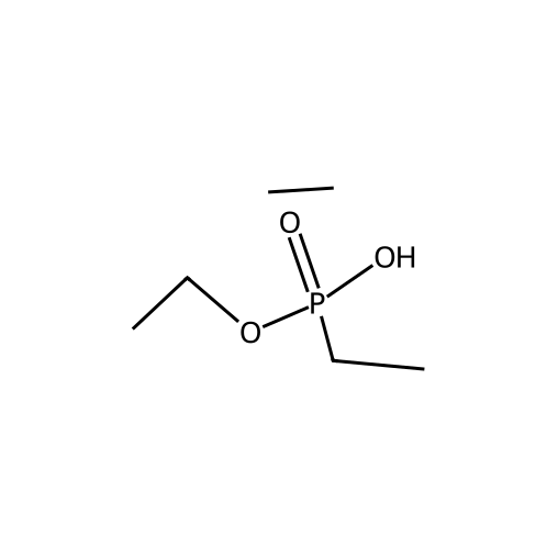 CC.CCOP(=O)(O)CC